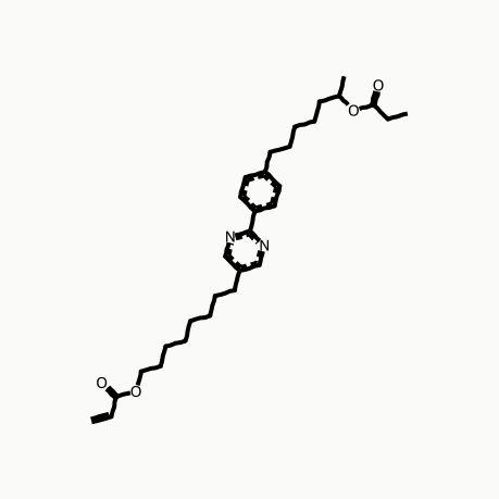 C=CC(=O)OCCCCCCCCc1cnc(-c2ccc(CCCCCC(C)OC(=O)CC)cc2)nc1